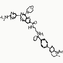 CC(=O)N1c2ccc(-c3ccc(C(=O)NCCNC(=O)c4cc5nc(-c6cnc(N)nc6)nc(N6CCOCC6)c5s4)cc3)cc2CC[C@@H]1C